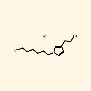 CCCCCCCn1ccc(CCC)c1.Cl